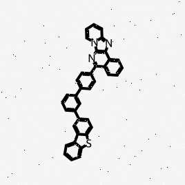 c1cc(-c2ccc(-c3nc4c(nc5ccccn54)c4ccccc34)cc2)cc(-c2ccc3sc4ccccc4c3c2)c1